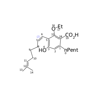 CCCCCc1cc(O)c(/C=C\CCCC=C(C)C)c(OCC)c1C(=O)O